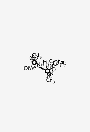 COc1ccc(S(C)(=O)=O)cc1NCC#Cc1cc(C(=O)N[C@H]2CCN(C[C@H]3CC3(F)F)C[C@@H]2C)c2ncn(CC(F)(F)F)c2c1